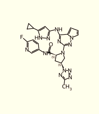 Cc1nnn([C@H]2C[C@@H](C(=O)Nc3ccc(F)nc3)N(c3nc(Nc4cc(C5CC5)[nH]n4)c4cccn4n3)C2)n1